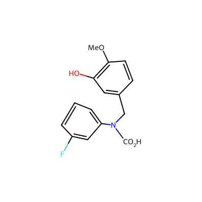 COc1ccc(CN(C(=O)O)c2cccc(F)c2)cc1O